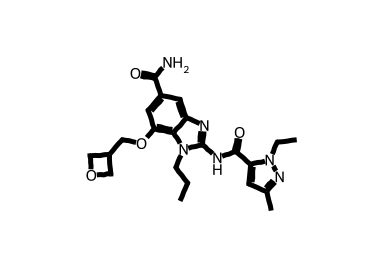 CCCn1c(NC(=O)c2cc(C)nn2CC)nc2cc(C(N)=O)cc(OCC3COC3)c21